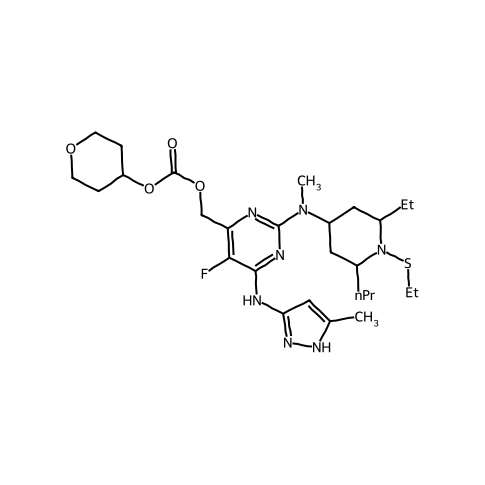 CCCC1CC(N(C)c2nc(COC(=O)OC3CCOCC3)c(F)c(Nc3cc(C)[nH]n3)n2)CC(CC)N1SCC